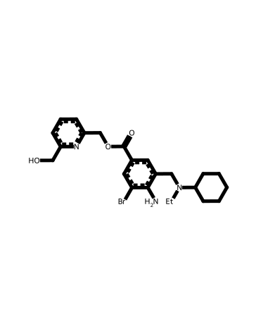 CCN(Cc1cc(C(=O)OCc2cccc(CO)n2)cc(Br)c1N)C1CCCCC1